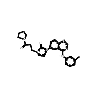 Cc1cccc(Nc2ncnc3ccc(-n4ccn(CCC(=O)N5CCCC5)c4=O)cc23)c1